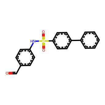 O=Cc1ccc(NS(=O)(=O)c2ccc(-c3ccccc3)cc2)cc1